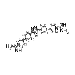 Cc1cc(C2=CCN(C(=N)N)CC2)ccc1-c1nnc(-c2ccc(C3=CCN(C(=N)N)CC3)cc2)n1C